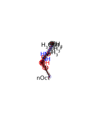 CCCCCCCC/C=C\CCCCCCCC(=O)OCCCOP(=O)(O)OCCNC(=O)CCCNC(=O)/C=C(C)/C=C/C=C(C)/C=C/C1=C(C)CCCC1(C)C